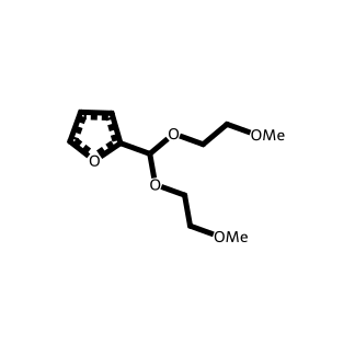 COCCOC(OCCOC)c1ccco1